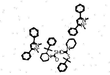 CC(C)(SC(=O)N1CCCCC1)c1ccccc1.CC(C)(c1ccccc1)[C@@H]1CCCCN1C(=O)S.Cn1c(-c2ccccc2)cc(-c2ccccc2)[n+]1C.Cn1c(-c2ccccc2)cc(-c2ccccc2)[n+]1C